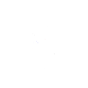 CCC1(C(=O)NS(=O)(=O)c2ccc(C3CCC3)c3ccccc23)CCc2c(C3CCC3)cccc21